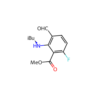 CC[C@H](C)Nc1c(C=O)ccc(F)c1C(=O)OC